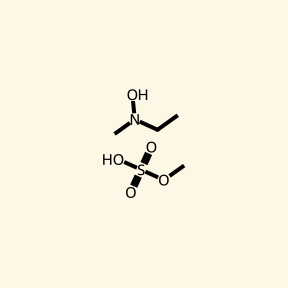 CCN(C)O.COS(=O)(=O)O